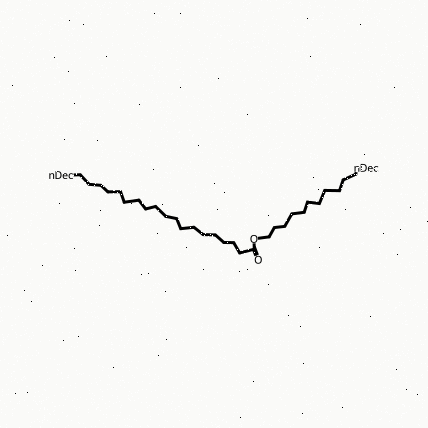 CCCCCCCCCCCCCCCCCCCCCCCCCCCCC(=O)OCCCCCCCCCCCCCCCCCCCCC